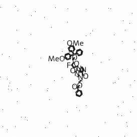 COc1ccc(C(OC[C@H]2O[C@@H](n3cnc4c(=O)n(CCOC(=O)c5ccccc5)cnc43)[C@H](O)[C@@H]2F)(c2ccccc2)c2ccc(OC)cc2)cc1